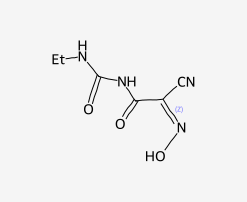 CCNC(=O)NC(=O)/C(C#N)=N\O